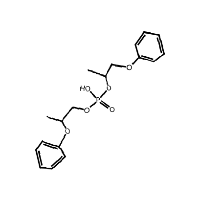 CC(COP(=O)(O)OC(C)COc1ccccc1)Oc1ccccc1